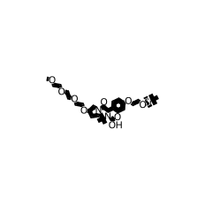 COCCOCCOCCOC1CCN(C(=O)[C@H](c2ccc(OCCO[Si](C)(C)C(C)(C)C)cc2)N(C(=O)O)C(C)(C)C)C1